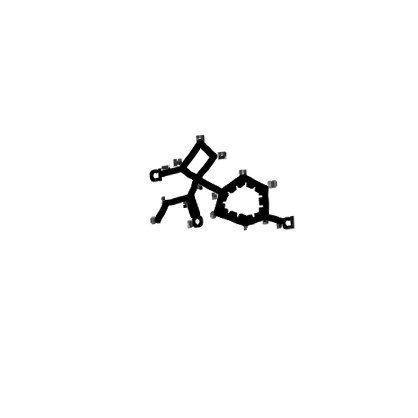 CCC(=O)C1(c2ccc(Cl)cc2)CCC1Cl